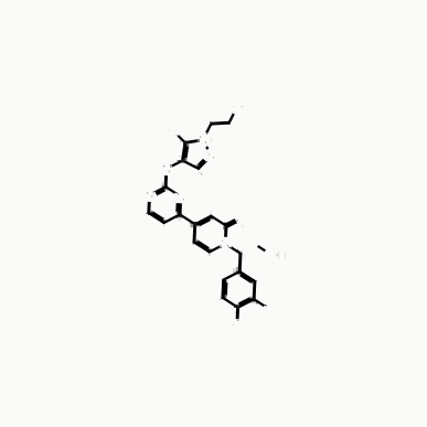 Cc1c(Nc2nccc(-c3ccn([C@H](CO)c4ccc(Cl)c(F)c4)c(=O)c3)n2)cnn1CCO